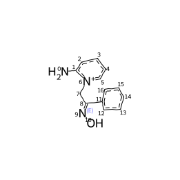 Nc1cccc[n+]1C/C(=N/O)c1ccccc1